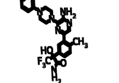 Cc1ccc(C(O)(C(N)=O)C(F)(F)F)cc1-c1cnc(N)c(N2CCN(c3ccccc3)CC2)n1